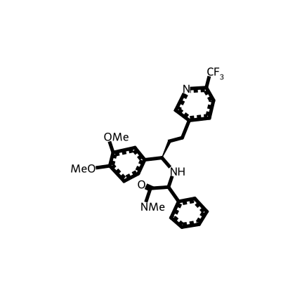 CNC(=O)C(N[C@H](CCc1ccc(C(F)(F)F)nc1)c1ccc(OC)c(OC)c1)c1ccccc1